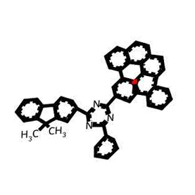 CC1(C)c2ccccc2-c2ccc(-c3nc(-c4ccccc4)nc(-c4cccc(-c5cccc6ccc7ccc8c9ccccc9ccc8c7c56)c4)n3)cc21